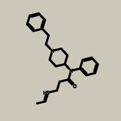 CC=[SH]CCC(=O)N(c1ccccc1)C1CCN(CCc2ccccc2)CC1